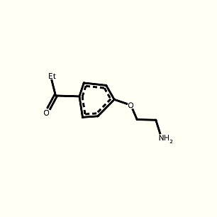 CCC(=O)c1ccc(OCCN)cc1